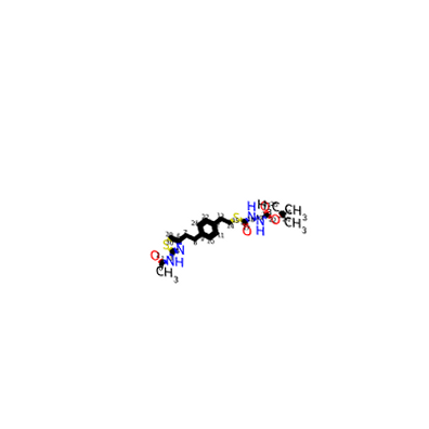 CC(=O)Nc1nc(CCc2ccc(CCSC(=O)NNC(=O)OC(C)(C)C)cc2)cs1